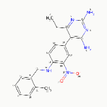 CCc1nc(N)nc(N)c1-c1ccc(NCc2ccccc2C)c([N+](=O)[O-])c1